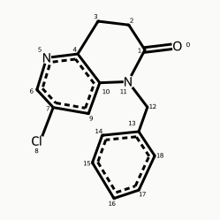 O=C1CCc2ncc(Cl)cc2N1Cc1ccccc1